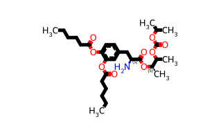 CCCCCC(=O)Oc1ccc(C[C@H](N)C(=O)O[C@@H](C)C(C)OC(=O)OC(C)C)cc1OC(=O)CCCCC